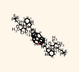 CC(C)[C@H](NC(=O)OCC(F)(F)F)C(=O)N1[C@H](c2nc3cc(-c4cc5ccc4CCc4ccc(c(-c6ccc7[nH]c([C@@H]8C[C@@H]9CCCC[C@@H]9N8C(=O)[C@@H](NC(=O)OCC(F)(F)F)C(C)C)nc7c6)c4)CC5)ccc3[nH]2)C[C@@H]2CCCC[C@@H]21